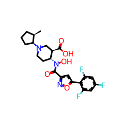 C[C@@H]1CCC[C@@H]1N1CC[C@@H](N(O)C(=O)c2cc(-c3c(F)cc(F)cc3F)on2)[C@H](C(=O)O)C1